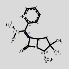 C[S@+]([O-])/C(=C1\C(=O)N2C1CC(C)(C)[C@@H]2C(=O)O)c1ccccn1